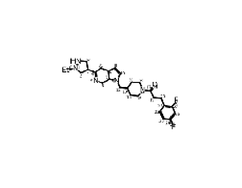 CCN1CC(C2=NCC3C(C=CN3CC3CCN(C(=O)CCc4ccc(F)cc4F)CC3)C2)CN1